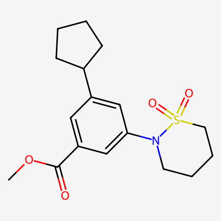 COC(=O)c1cc(C2CCCC2)cc(N2CCCCS2(=O)=O)c1